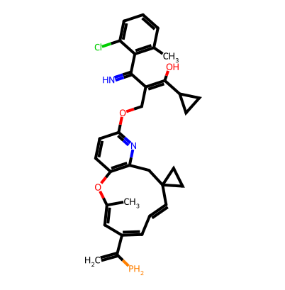 C=C(P)C1=C/C=C/C2(CC2)Cc2nc(OC/C(C(=N)c3c(C)cccc3Cl)=C(/O)C3CC3)ccc2O\C(C)=C\1